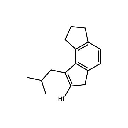 CC(C)CC1=[C]([Hf])Cc2ccc3c(c21)CCC3